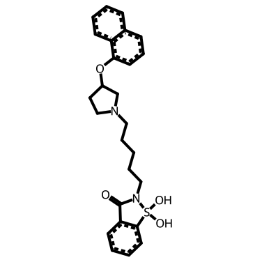 O=C1c2ccccc2S(O)(O)N1CCCCCN1CCC(Oc2cccc3ccccc23)C1